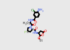 CCOC1OC(=O)CC1NC(=O)[C@@H]1C[C@H](F)CN1C(=O)[C@H](C)NC(=O)c1ccc(N)c(Cl)c1